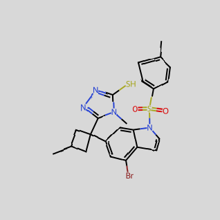 Cc1ccc(S(=O)(=O)n2ccc3c(Br)cc(C4(c5nnc(S)n5C)CC(C)C4)cc32)cc1